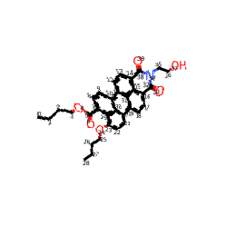 CCCCOC(=O)c1ccc2c3ccc4c5c(ccc(c6ccc(OCCCC)c1c62)c53)C(=O)N(CCO)C4=O